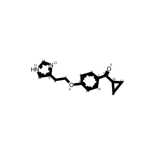 O=C(c1ccc(OCCc2c[nH]cn2)cc1)C1CC1